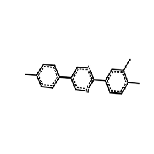 Cc1ccc(-c2cnc(-c3ccc(C)c(C)c3)nc2)cc1